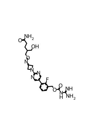 N=C(N)NC(=O)OCc1cccc(-c2cnc(N3CC(=NOCC(CO)CCC(N)=O)C3)nc2)c1F